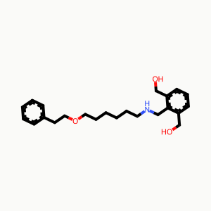 OCc1cccc(CO)c1CNCCCCCCOCCc1ccccc1